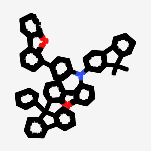 CC1(C)c2ccccc2-c2ccc(N(c3ccc(-c4cccc5c4oc4ccccc45)cc3)c3cccc4oc5c(C6(c7ccccc7)c7ccccc7-c7ccccc76)cccc5c34)cc21